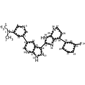 CN(C)c1cncc(-c2cnc3[nH]nc(-c4nc5c(-c6cccc(F)c6)ccnc5[nH]4)c3c2)c1